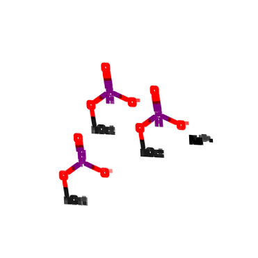 CCCCCCCCO[PH](=O)[O-].CCCCCCCCO[PH](=O)[O-].CCCCCCCCO[PH](=O)[O-].[Nd+3]